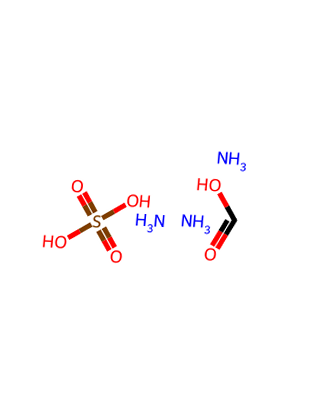 N.N.N.O=CO.O=S(=O)(O)O